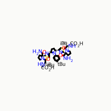 CC[C@H](C)[C@H](NC(=O)O)C(=O)N1CCC[C@]1(C(N)=O)c1nc([C@H]2CC[C@H](c3csc([C@@]4(C(N)=O)CCCN4C(=O)[C@@H](NC(=O)O)[C@@H](C)CC)n3)N2c2ccc(C(C)(C)C)cc2)cs1